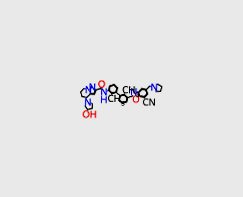 Cc1c(NC(=O)c2cc3n(n2)CCCC3N2CC[C@@H](O)C2)cccc1-c1cccc(-c2nc3cc(CN4CCCC4)cc(C#N)c3o2)c1C